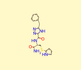 NC(=O)[C@H](CSc1ccc[nH]1)NC(=O)c1nnc(Cc2ccccc2)[nH]1